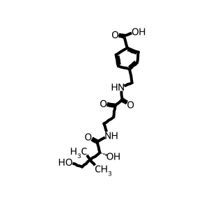 CC(C)(CO)[C@@H](O)C(=O)NCCC(=O)C(=O)NCc1ccc(C(=O)O)cc1